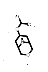 CCC(CC)OC1CC2COCC(C1)N2C